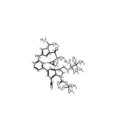 CC(C)n1nc(Nc2nccc(-c3cc(C#N)c4c(c3)[C@@](C)(CO[Si](C)(C)C(C)(C)C)CN4C(=O)OC(C)(C)C)n2)cc1C(=O)N(C)C1CC1